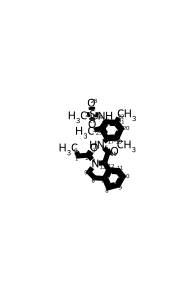 CCC(=O)N1CCc2ccccc2C1C(=O)Nc1c(C)cc(C)c(NS(C)(=O)=O)c1C